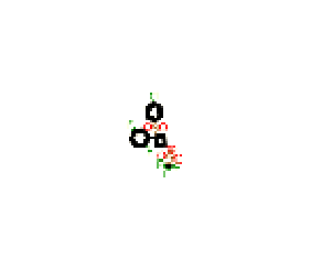 O=S(=O)(O[C@H]1C[C@](c2cc(F)ccc2F)(S(=O)(=O)c2ccc(Cl)cc2)C1)C(F)(F)F